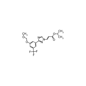 COCOc1cc(-c2ncn(/C=C/C(=O)OC(C)C)n2)cc(C(F)(F)F)c1